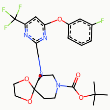 CC(C)(C)OC(=O)N1CCC2(OCCO2)C2(CCN(c3nc(Oc4cccc(F)c4)cc(C(F)(F)F)n3)C2)C1